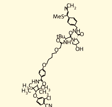 C=N/C=C(\SC)c1ccc(CNC(=O)[C@@H]2C[C@@H](O)CN2C(=O)[C@@H](NC(=O)COCCCCCOc2ccc(C(=O)N[C@H]3C(C)(C)[C@H](Oc4ccc(C#N)c(Cl)c4)C3(C)C)cc2)C(C)(C)C)cc1